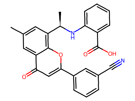 Cc1cc([C@@H](C)Nc2ccccc2C(=O)O)c2oc(-c3cccc(C#N)c3)cc(=O)c2c1